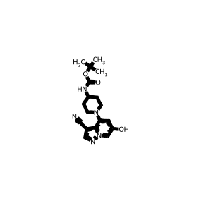 CC(C)(C)OC(=O)NC1CCN(c2cc(O)cn3ncc(C#N)c23)CC1